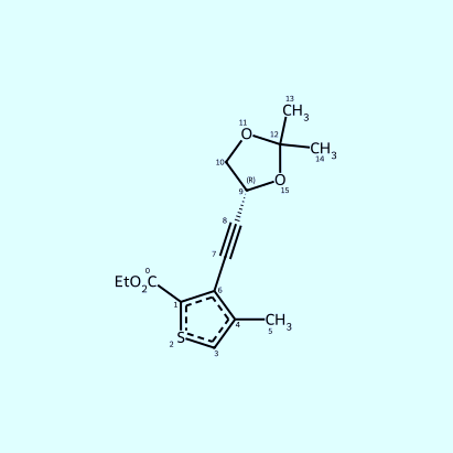 CCOC(=O)c1scc(C)c1C#C[C@@H]1COC(C)(C)O1